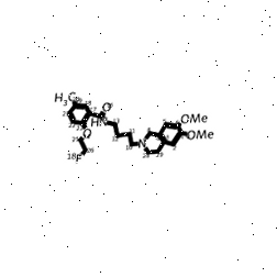 COc1cc2c(cc1OC)CN(CCCCNC(=O)c1cc(C)ccc1OCC[18F])CC2